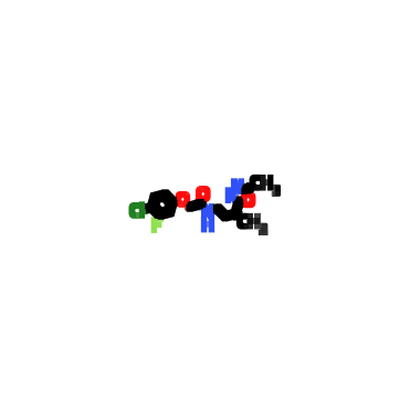 C=C(CCNC(=O)COc1ccc(Cl)c(F)c1)c1nnc(C)o1